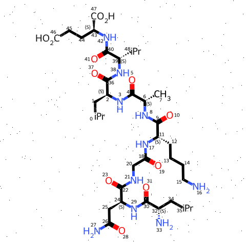 CC(C)C[C@H](NC(=O)[C@H](C)NC(=O)[C@H](CCCCN)NC(=O)CNC(=O)[C@H](CC(N)=O)NC(=O)[C@@H](N)CC(C)C)C(=O)N[C@H](C(=O)N[C@@H](CCC(=O)O)C(=O)O)C(C)C